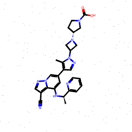 Cc1c(-c2cc(N[C@H](C)c3ccccn3)c3c(C#N)cnn3c2)cnn1C1CN([C@@H]2CCN(C(=O)O)C2)C1